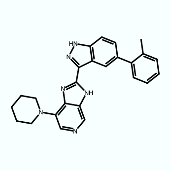 Cc1ccccc1-c1ccc2[nH]nc(-c3nc4c(N5CCCCC5)cncc4[nH]3)c2c1